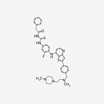 CN1CCN(CCN(C)Cc2ccc(-c3cc4nccc(Nc5ccc(NC(=S)NC(=O)Cc6ccccc6)cc5F)c4s3)cc2)CC1